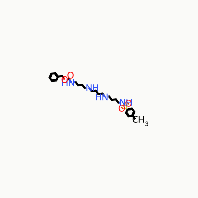 Cc1ccc(S(=O)(=O)NCCCCNCCCCNCCCCNC(=O)OCc2ccccc2)cc1